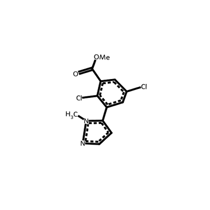 COC(=O)c1cc(Cl)cc(-c2ccnn2C)c1Cl